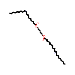 CCCCCCCC/C=C\CCCCCCCC(=O)OCCCCCCOC(=O)CCCCCCC/C=C/CCCCCCCC